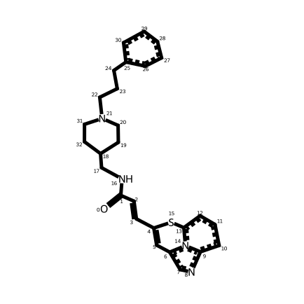 O=C(C=CC1=Cc2cnc3cccc(n23)S1)NCC1CCN(CCCc2ccccc2)CC1